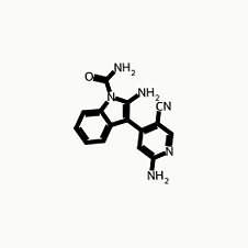 N#Cc1cnc(N)cc1-c1c(N)n(C(N)=O)c2ccccc12